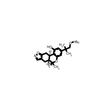 CCCCOCC(C)(C)c1cc(O)c2c(c1)OC(C)(C)[C@@H]1Cc3cnoc3C[C@@H]21